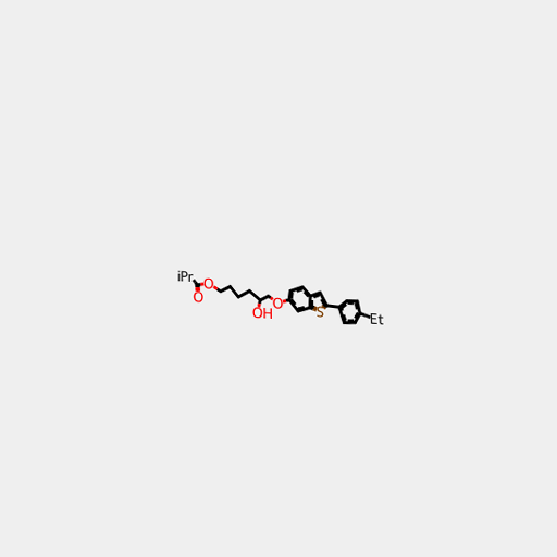 CCc1ccc(-c2cc3ccc(OCC(O)CCCCOC(=O)C(C)C)cc3s2)cc1